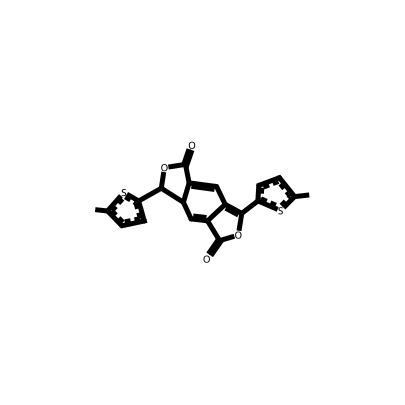 Cc1ccc(C2=C3C=C4C(=O)OC(c5ccc(C)s5)C4C=C3C(=O)O2)s1